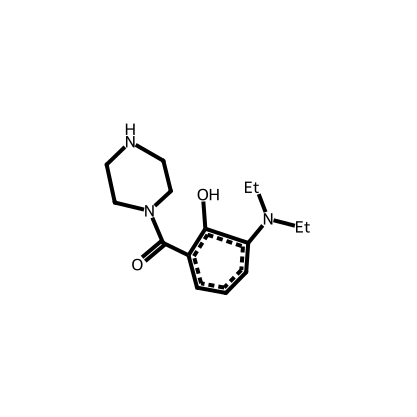 CCN(CC)c1cccc(C(=O)N2CCNCC2)c1O